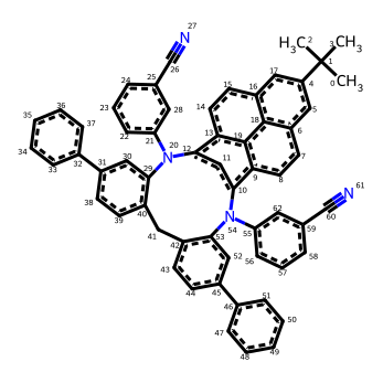 CC(C)(C)c1cc2ccc3c4cc(c5ccc(c1)c2c35)N(c1cccc(C#N)c1)c1cc(-c2ccccc2)ccc1Cc1ccc(-c2ccccc2)cc1N4c1cccc(C#N)c1